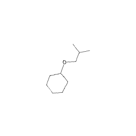 C[C](C)COC1CCCCC1